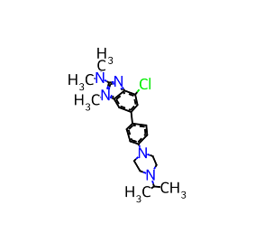 CC(C)N1CCN(c2ccc(-c3cc(Cl)c4nc(N(C)C)n(C)c4c3)cc2)CC1